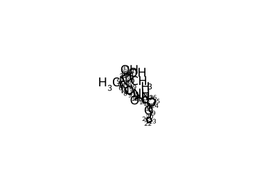 C[C@H]1CN([C@@H](C)CN2CCC(NC(=O)c3cc4c(OCC5CCC5)cccc4[nH]3)CC2)C[C@H](O)[C@@H]1O